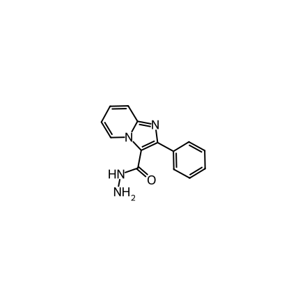 NNC(=O)c1c(-c2ccccc2)nc2ccccn12